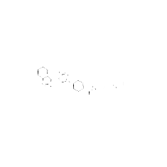 CN1CCCC2(CCCN(C(=O)c3ccc(-n4cc(-c5n[nH]c6ccccc56)nn4)cc3)C2)C1